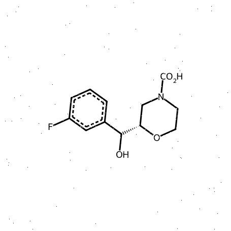 O=C(O)N1CCO[C@H](C(O)c2cccc(F)c2)C1